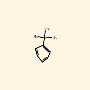 CCCCC(CCCC)(CCCC)c1ccccc1